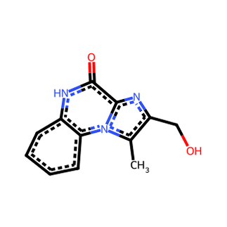 Cc1c(CO)nc2c(=O)[nH]c3ccccc3n12